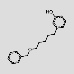 Oc1cccc(CCCCCOCc2ccccc2)c1